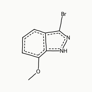 COc1cccc2c(Br)n[nH]c12